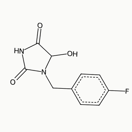 O=C1NC(=O)N(Cc2ccc(F)cc2)C1O